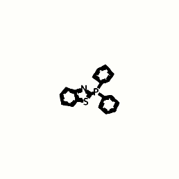 c1ccc(P(c2ccccc2)c2nc3ccccc3s2)cc1